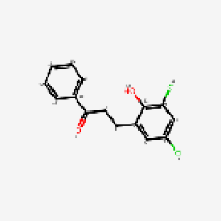 O=C(CCc1cc(Cl)cc(Cl)c1O)c1ccccc1